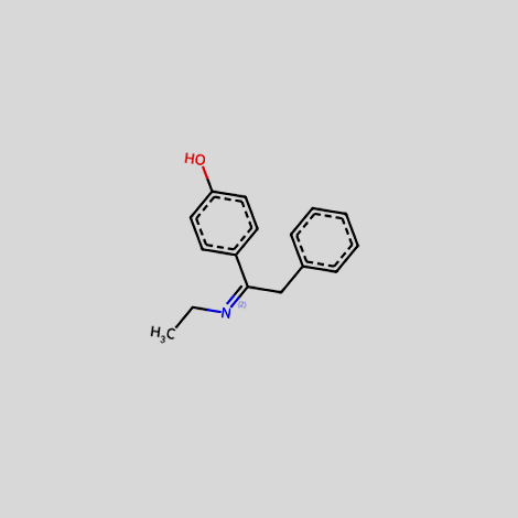 CC/N=C(/Cc1ccccc1)c1ccc(O)cc1